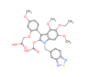 CCOc1c(OC)cc2c(c1OC)c(-c1ccc(OC)cc1OCC(=O)O)c(OC(=O)O)n2Cc1ccc2nsnc2c1